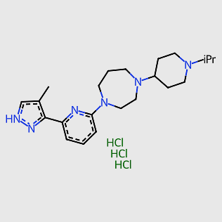 Cc1c[nH]nc1-c1cccc(N2CCCN(C3CCN(C(C)C)CC3)CC2)n1.Cl.Cl.Cl